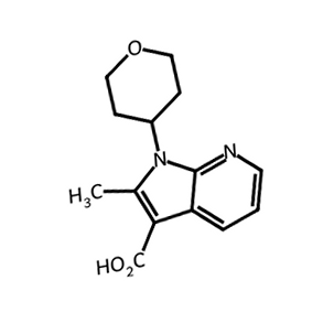 Cc1c(C(=O)O)c2cccnc2n1C1CCOCC1